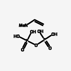 C=CNC.O=P(O)(O)OP(=O)(O)O